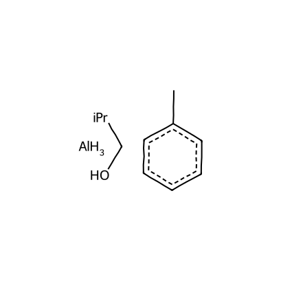 CC(C)CO.Cc1ccccc1.[AlH3]